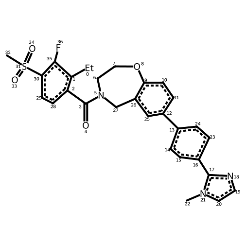 CCc1c(C(=O)N2CCOc3ccc(-c4ccc(-c5nccn5C)cc4)cc3C2)ccc(S(C)(=O)=O)c1F